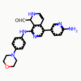 Nc1ccc(-c2cnc(Nc3ccc(N4CCOCC4)cc3)c3c2C=CNC3C=O)cn1